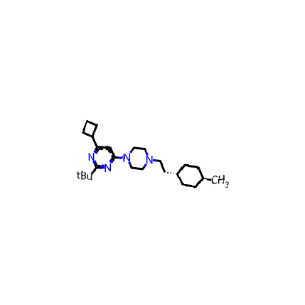 CC(C)(C)c1nc(C2CCC2)cc(N2CCN(CC[C@H]3CC[C@H](C)CC3)CC2)n1